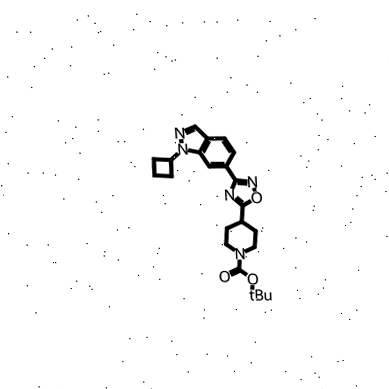 CC(C)(C)OC(=O)N1CCC(c2nc(-c3ccc4cnn(C5CCC5)c4c3)no2)CC1